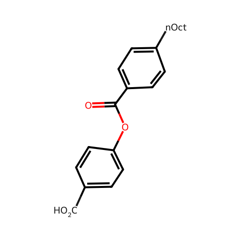 CCCCCCCCc1ccc(C(=O)Oc2ccc(C(=O)O)cc2)cc1